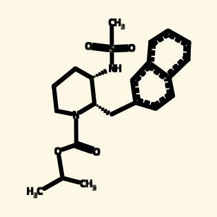 CC(C)OC(=O)N1CCC[C@H](NS(C)(=O)=O)[C@@H]1Cc1ccc2ccccc2c1